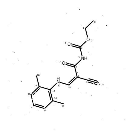 CCOC(=O)NC(=O)/C(C#N)=C\Nc1c(C)cccc1C